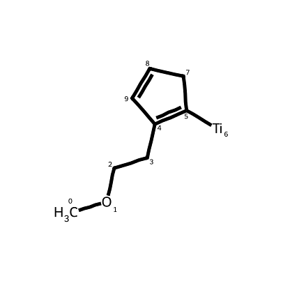 COCCC1=[C]([Ti])CC=C1